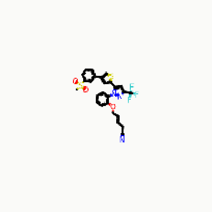 CS(=O)(=O)c1cccc(-c2csc(-c3cc(C(F)(F)F)nn3-c3ccccc3OCCCCC#N)c2)c1